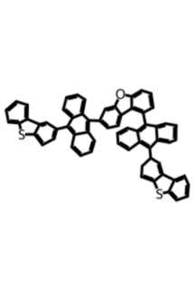 C1=c2sc3ccccc3c2=CC(c2c3ccccc3c(-c3cccc4oc5cc(-c6c7ccccc7c(-c7ccc8sc9ccccc9c8c7)c7ccccc67)ccc5c34)c3ccccc23)C1